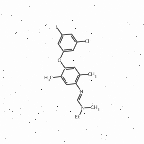 CCN(C)C=Nc1cc(C)c(Oc2cc(Cl)cc(I)c2)cc1C